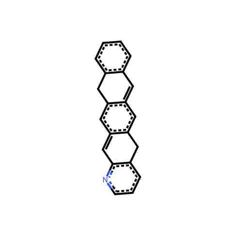 C1=c2cc3c(cc2Cc2ccccc21)=Cc1ncccc1C3